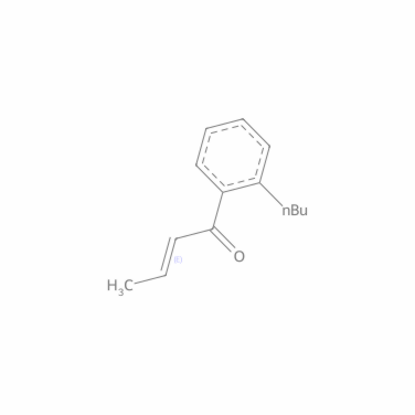 C/C=C/C(=O)c1ccccc1CCCC